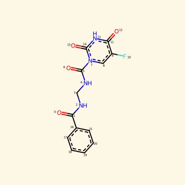 O=C(NCNC(=O)n1cc(F)c(=O)[nH]c1=O)c1ccccc1